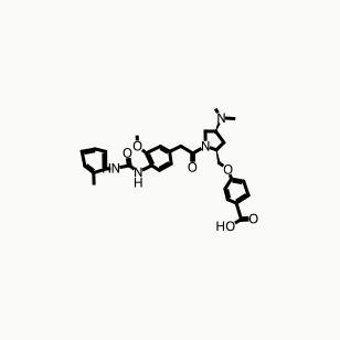 COc1cc(CC(=O)N2C[C@@H](N(C)C)C[C@H]2COc2ccc(C(=O)O)cc2)ccc1NC(=O)Nc1ccccc1C